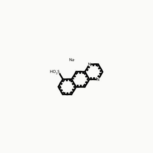 O=S(=O)(O)c1cccc2cc3nccnc3cc12.[Na]